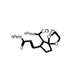 CCCCCC(=O)C=CC1CCC2(OCCO2)C1C(CCCCC)C(=O)O